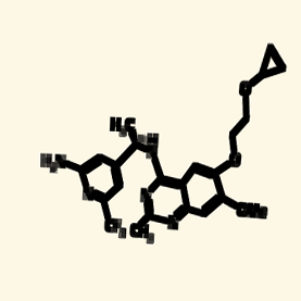 COc1cc2nc(C)nc(N[C@H](C)c3cc(N)nc(C(F)(F)F)c3)c2cc1OCCOC1CC1